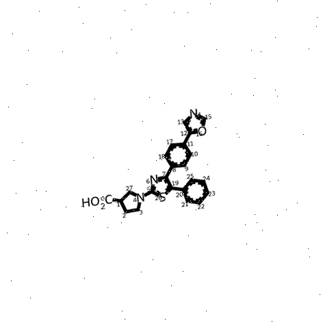 O=C(O)C1CCN(c2nc(-c3ccc(-c4cnco4)cc3)c(-c3ccccc3)s2)C1